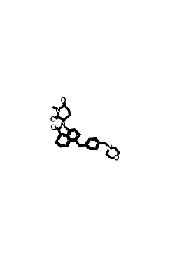 CN1C(=O)CCC(N2C(=O)c3cccc4c(Cc5ccc(CN6CCOCC6)cc5)ccc2c34)C1=O